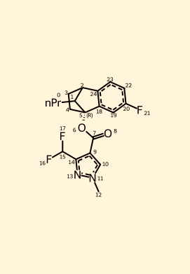 CCCC1C2CC[C@]1(OC(=O)c1cn(C)nc1C(F)F)c1cc(F)ccc12